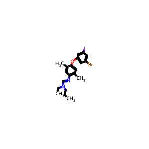 CCCN(C=Nc1cc(C)c(Oc2cc(Br)cc(I)c2)cc1C)CC